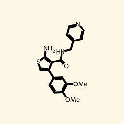 COc1ccc(-c2csc(N)c2C(=O)NCc2ccncc2)cc1OC